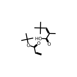 C=CC(=O)OC(C)(C)C.CC(=CC(C)(C)C)C(=O)O